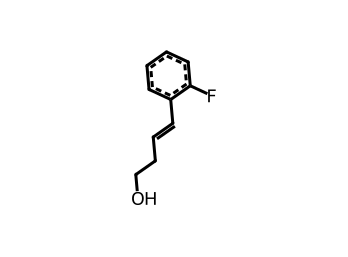 OCCC=Cc1ccccc1F